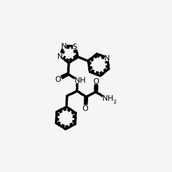 NC(=O)C(=O)C(Cc1ccccc1)NC(=O)c1nnsc1-c1cccnc1